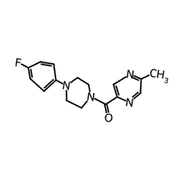 Cc1cnc(C(=O)N2CCN(c3ccc(F)cc3)CC2)cn1